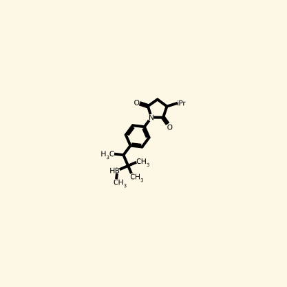 CBC(C)(C)C(C)c1ccc(N2C(=O)CC(C(C)C)C2=O)cc1